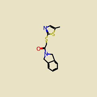 Cc1cnc(SCC(=O)N2Cc3ccccc3C2)s1